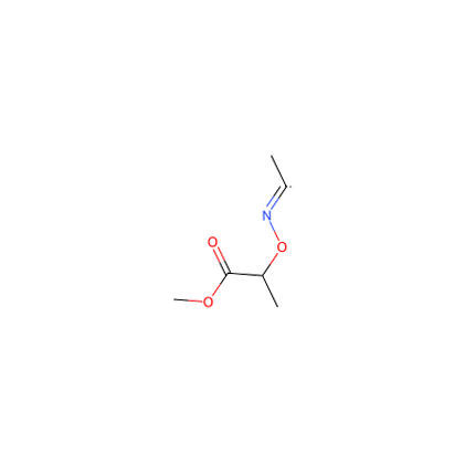 C/[C]=N/OC(C)C(=O)OC